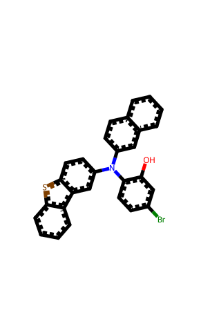 Oc1cc(Br)ccc1N(c1ccc2ccccc2c1)c1ccc2sc3ccccc3c2c1